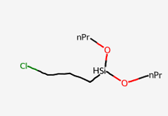 CCCO[SiH](CCCCl)OCCC